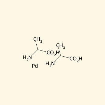 CC(N)C(=O)O.CC(N)C(=O)O.[Pd]